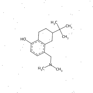 CN(C)Cc1ccc(O)c2c1CC(C(C)(C)C)CC2